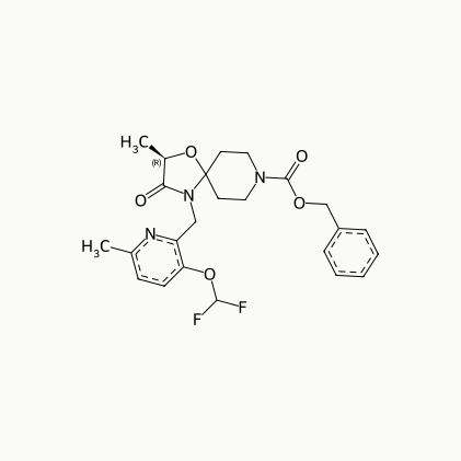 Cc1ccc(OC(F)F)c(CN2C(=O)[C@@H](C)OC23CCN(C(=O)OCc2ccccc2)CC3)n1